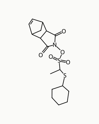 CC(SC1CCCCC1)S(=O)(=O)ON1C(=O)C2C3C=CC(C3)C2C1=O